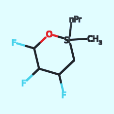 CCC[Si]1(C)CC(F)C(F)C(F)O1